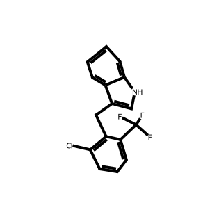 FC(F)(F)c1cccc(Cl)c1Cc1c[nH]c2ccccc12